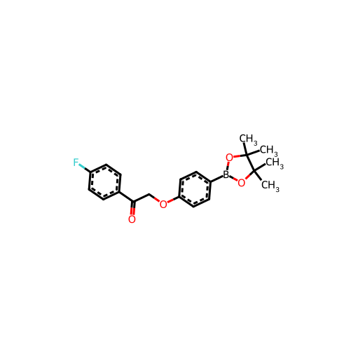 CC1(C)OB(c2ccc(OCC(=O)c3ccc(F)cc3)cc2)OC1(C)C